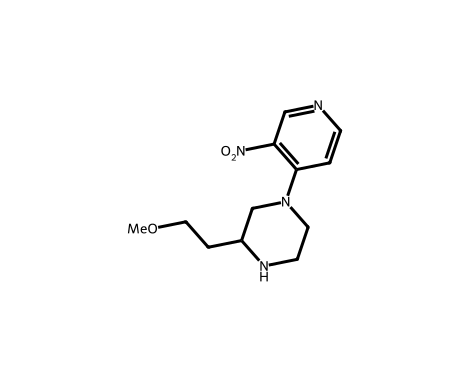 COCCC1CN(c2ccncc2[N+](=O)[O-])CCN1